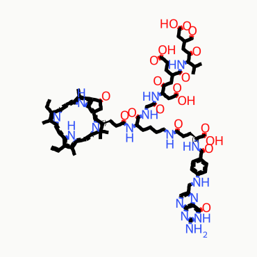 C=Cc1c(C)c2cc3nc(c4c5[nH]c(cc6nc(cc1[nH]2)C(C)=C6CC)c(C)c5C(=O)C4)[C@@H](CCC(=O)NC(CCCCNC(=O)CC[C@H](NC(=O)c1ccc(NCc2cnc4nc(N)[nH]c(=O)c4n2)cc1)C(=O)O)C(=O)NCC(=O)NC(CC(=O)O)C(=O)CC(CCC(=O)O)C(=O)NC(C(=O)CC(C=O)CC(=O)O)C(C)C)C3(C)C